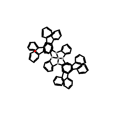 c1ccc(-c2cc(-c3ccccc3)cc(N3c4ccccc4N(c4cc(-c5ccccc5)cc(-c5ccccc5)c4)[Si]34N(c3cc(-c5ccccc5)cc(-c5ccccc5)c3)c3ccccc3N4c3cc(-c4ccccc4)cc(-c4ccccc4)c3)c2)cc1